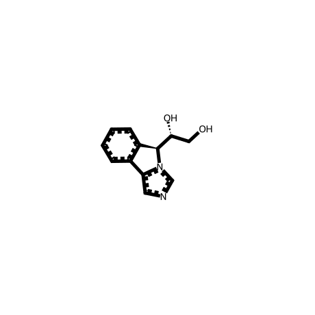 OC[C@@H](O)[C@@H]1c2ccccc2-c2cncn21